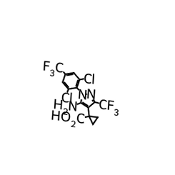 Nc1c(C2(C(=O)O)CC2)c(C(F)(F)F)nn1-c1c(Cl)cc(C(F)(F)F)cc1Cl